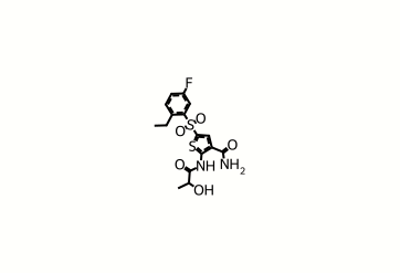 CCc1ccc(F)cc1S(=O)(=O)c1cc(C(N)=O)c(NC(=O)C(C)O)s1